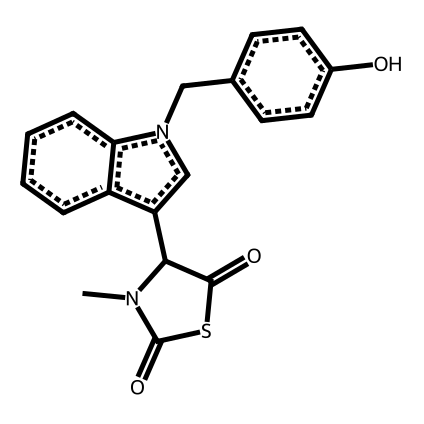 CN1C(=O)SC(=O)C1c1cn(Cc2ccc(O)cc2)c2ccccc12